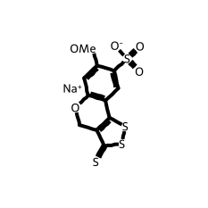 COc1cc2c(cc1S(=O)(=O)[O-])-c1ssc(=S)c1CO2.[Na+]